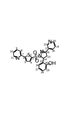 O=S(=O)(c1ccc(-c2ccccn2)s1)N1N=C(c2cccnc2)CC1c1ccccc1O